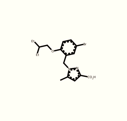 CCC(CC)COc1ccc(Br)cc1Cn1nc(C(=O)O)cc1C